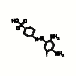 Cc1cc(/N=N/c2ccc(S(=O)(=O)O)cc2)c(N)cc1N